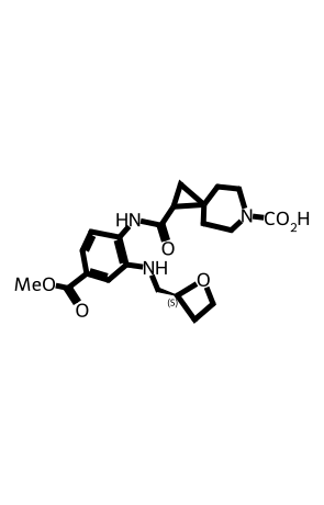 COC(=O)c1ccc(NC(=O)C2CC23CCN(C(=O)O)CC3)c(NC[C@@H]2CCO2)c1